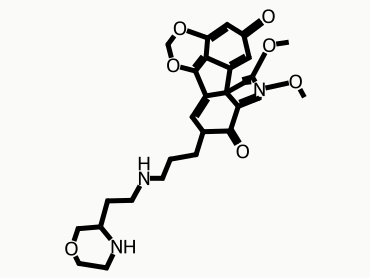 COC1=CC23C(=CN1OC)C(=O)C(CCCNCCC1COCCN1)C=C2C1=C2C(=CC(=O)C=C23)OCO1